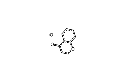 O=c1ccoc2ccccc12.[O]